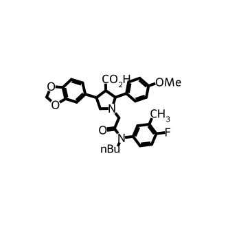 CCCCN(C(=O)CN1CC(c2ccc3c(c2)OCO3)C(C(=O)O)C1c1ccc(OC)cc1)c1ccc(F)c(C)c1